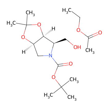 CC(C)(C)OC(=O)N1C[C@H]2OC(C)(C)O[C@H]2[C@H]1CO.CCOC(C)=O